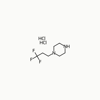 Cl.Cl.FC(F)(F)CCN1CCNCC1